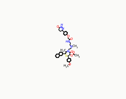 COc1ccc(C2SC(c3ccc4ccccc4c3)=C(C)N(CCN(C)CCNC(=O)COc3ccc(C4=NNC(=O)CC4)cc3)C(=O)C2OC(C)=O)cc1